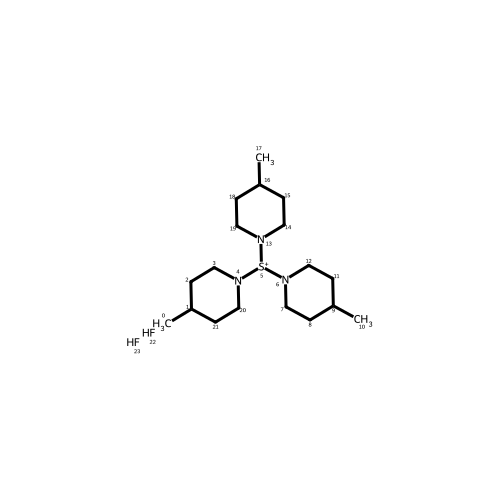 CC1CCN([S+](N2CCC(C)CC2)N2CCC(C)CC2)CC1.F.F